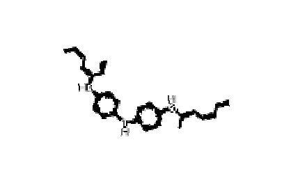 C=C/C=C\C=C(/C)Bc1ccc(Bc2ccc(B/C(C=C)=C/C=C\C)cc2)cc1